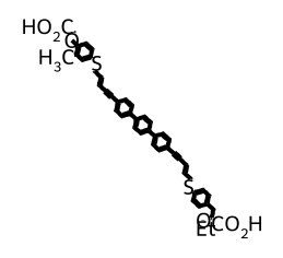 CCOC(Cc1ccc(SCC=CC#Cc2ccc(-c3ccc(-c4ccc(C#CC=CCSc5ccc(OCC(=O)O)c(C)c5)cc4)cc3)cc2)cc1)C(=O)O